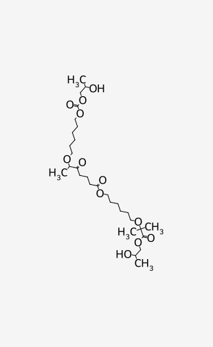 CC(O)COC(=O)OCCCCCCOC(C)C(=O)CCCC(=O)OCCCCCCOC(C)(C)C(=O)OCC(C)O